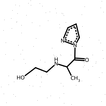 CC(NCCO)C(=O)n1cccn1